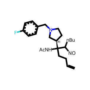 C=CCCC(NC(C)=O)(C(CCCC)N=O)[C@@H]1CCN(Cc2ccc(F)cc2)C1